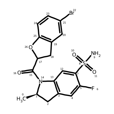 C[C@@H]1Cc2cc(F)c(S(N)(=O)=O)cc2N1C(=O)C1Cc2cc(Br)ccc2O1